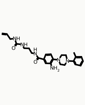 C=CCNC(=O)NCCCNC(=O)c1ccc(N2CCN(c3ccccc3C)CC2)c(N)c1